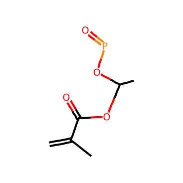 C=C(C)C(=O)OC(C)OP=O